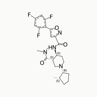 C[C@H]1CCC[C@H]1N1CC[C@H](NC(=O)c2cc(-c3c(F)cc(F)cc3F)on2)[C@@H](C(=O)N(C)C)C1